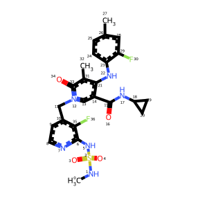 CNS(=O)(=O)Nc1nccc(Cn2cc(C(=O)NC3CC3)c(Nc3ccc(C)cc3F)c(C)c2=O)c1F